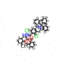 Cc1cccc(C[C@H](NC(=O)c2c(Cl)cc3c(c2Cl)CCN(C(c2ccccc2)(c2ccccc2)c2ccccc2)C3)C(=O)OCc2ccccc2)c1